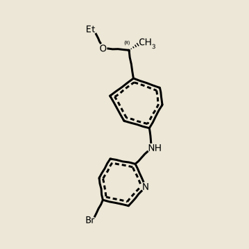 CCO[C@H](C)c1ccc(Nc2ccc(Br)cn2)cc1